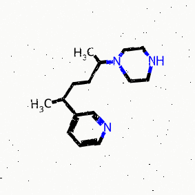 CC(CCC(C)N1CCNCC1)c1cccnc1